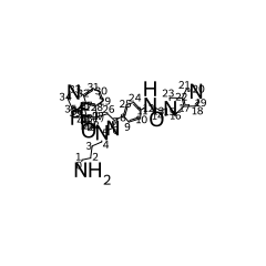 NCCCCN1N=C(c2ccc(NC(=O)N3Cc4ccncc4C3)cc2)C[C@](c2cccc3ncccc23)(C(F)(F)F)C1=O